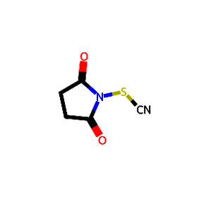 N#CSN1C(=O)CCC1=O